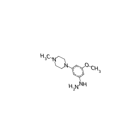 COc1cc(NN)cc(N2CCN(C)CC2)c1